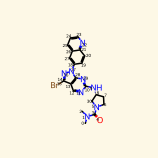 CN(C)C(=O)N1CC[C@@H](Nc2ncc3c(Br)nn(-c4ccc5ncccc5c4)c3n2)C1